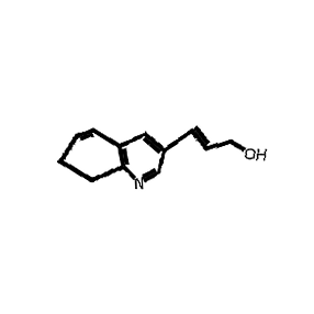 OC/C=C/c1cnc2c(c1)C=CCC2